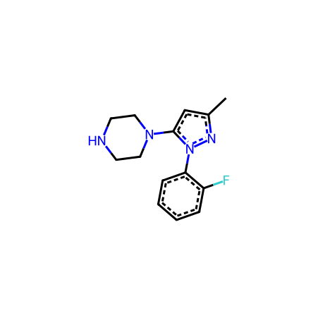 Cc1cc(N2CCNCC2)n(-c2ccccc2F)n1